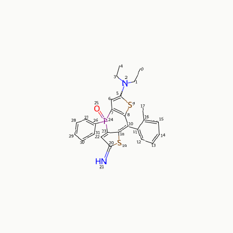 CCN(CC)c1cc2c(s1)C(c1ccccc1C)=C1SC(=N)C=C1P2(=O)c1ccccc1